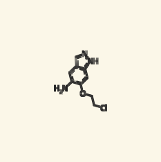 Nc1cc2cn[nH]c2cc1OCCCl